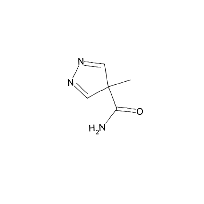 CC1(C(N)=O)C=NN=C1